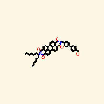 CCCCCCC(CCCCCC)N1C(=O)c2ccc3c4ccc5c6c(ccc(c7ccc(c2c37)C1=O)c64)C(=O)N(Cc1ccc(-c2ccc(C=O)cc2)cc1)C5=O